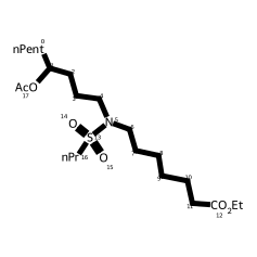 CCCCCC(CCCN(CCCCCCC(=O)OCC)S(=O)(=O)CCC)OC(C)=O